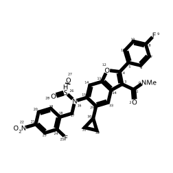 CNC(=O)c1c(-c2ccc(F)cc2)oc2cc(N(Cc3ccc([N+](=O)[O-])cc3F)[SH](=O)=O)c(C3CC3)cc12